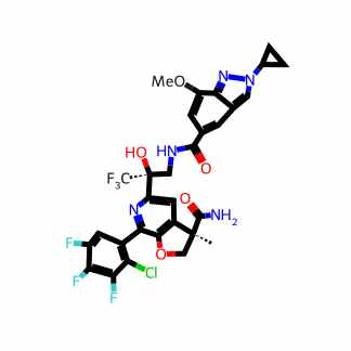 COc1cc(C(=O)NC[C@](O)(c2cc3c(c(-c4cc(F)c(F)c(F)c4Cl)n2)OC[C@]3(C)C(N)=O)C(F)(F)F)cc2cn(C3CC3)nc12